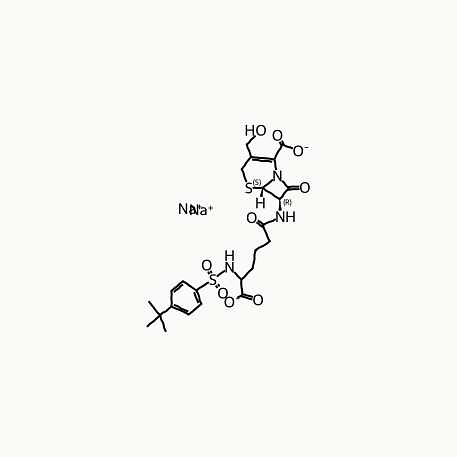 CC(C)(C)c1ccc(S(=O)(=O)NC(CCCC(=O)N[C@@H]2C(=O)N3C(C(=O)[O-])=C(CO)CS[C@@H]23)C(=O)[O-])cc1.[Na+].[Na+]